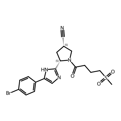 CS(=O)(=O)CCCC(=O)N1C[C@@H](C#N)C[C@H]1c1ncc(-c2ccc(Br)cc2)[nH]1